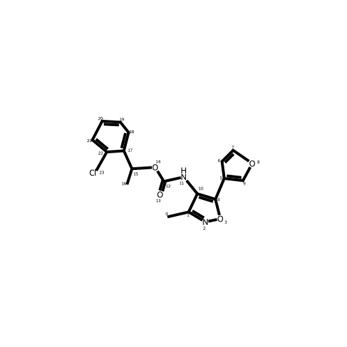 Cc1noc(-c2ccoc2)c1NC(=O)OC(C)c1ccccc1Cl